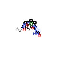 COc1nc(-c2cccc(-c3cccc(-c4cc5c(c(OC)n4)C(N4CCN(C(C)=O)CC4)CC5)c3Cl)c2Cl)cnc1CNCC1CCC(=O)N1